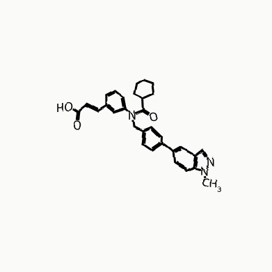 Cn1ncc2cc(-c3ccc(CN(C(=O)C4CCCCC4)c4cccc(C=CC(=O)O)c4)cc3)ccc21